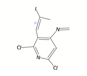 C=Nc1cc(Cl)nc(Cl)c1/C=C(\C)I